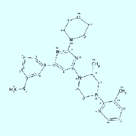 CSc1cccc(-c2cc(N3CCN(c4ncccc4C)C[C@H]3C)nc(N3CCOCC3)n2)c1